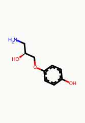 NC[C@H](O)COc1ccc(O)cc1